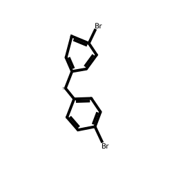 Brc1ccc([C]c2ccc(Br)cc2)cc1